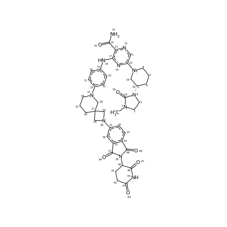 CN1CCN([C@H]2CCCN(c3cnc(C(N)=O)c(Nc4ccc(N5CCCC6(C5)CN(c5ccc7c(c5)C(=O)N(C5CCC(=O)NC5=O)C7=O)C6)cc4)n3)C2)C1=O